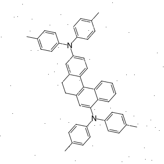 Cc1ccc(N(c2ccc(C)cc2)c2ccc3c(c2)CCc2cc(N(c4ccc(C)cc4)c4ccc(C)cc4)c4ccccc4c2-3)cc1